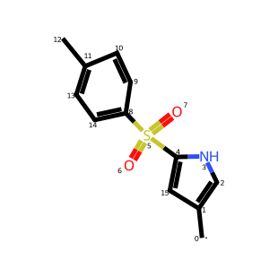 [CH2]c1c[nH]c(S(=O)(=O)c2ccc(C)cc2)c1